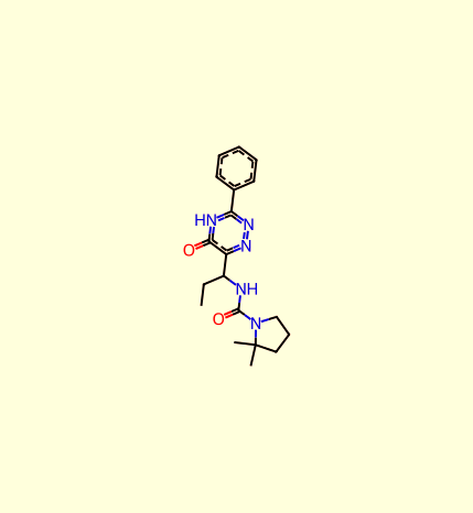 CCC(NC(=O)N1CCCC1(C)C)c1nnc(-c2ccccc2)[nH]c1=O